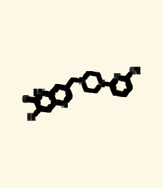 CCc1cc2ncc(CN3CCN(c4cccc(C#N)n4)CC3)cc2[nH]c1=O